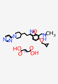 CNCc1c(OCC2CC2)ccc2c(CCC3CCN(c4ccncn4)CC3)noc12.O=C(O)/C=C/C(=O)O